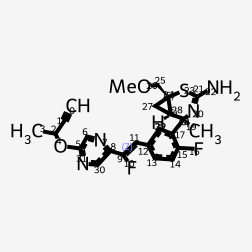 C#CC(C)Oc1cnc(/C(F)=C/c2ccc(F)c([C@@]3(C)N=C(N)S[C@@]4(COC)C[C@H]43)c2)cn1